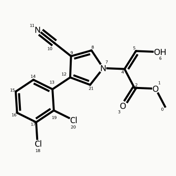 COC(=O)/C(=C\O)n1cc(C#N)c(-c2cccc(Cl)c2Cl)c1